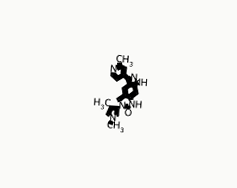 Cc1cc(-c2n[nH]c3cc4c(cc23)CN([C@@H]2CN(C)C[C@H]2C)C(=O)N4)ccn1